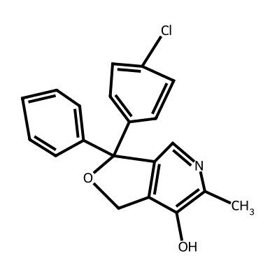 Cc1ncc2c(c1O)COC2(c1ccccc1)c1ccc(Cl)cc1